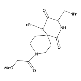 CCCN1C(=O)C(CC(C)C)NC(=O)C12CCN(C(=O)COC)CC2